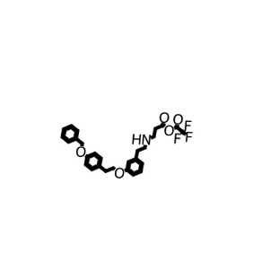 O=C(CCNCCc1cccc(OCCc2ccc(OCc3ccccc3)cc2)c1)OC(=O)C(F)(F)F